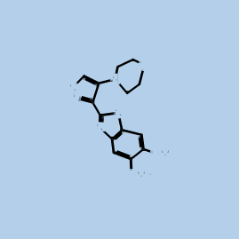 COc1cc2nc(-c3n[nH]cc3N3CCOCC3)[nH]c2cc1OC